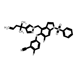 C=CCC(C)(C)c1cnn(Cc2c(Sc3ccc(F)c(C#N)c3)c(F)cc3c2ccn3S(=O)(=O)c2ccccc2)c1